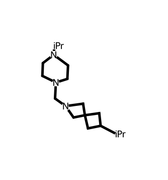 CC(C)C1CC2(C1)CN(CN1CCN(C(C)C)CC1)C2